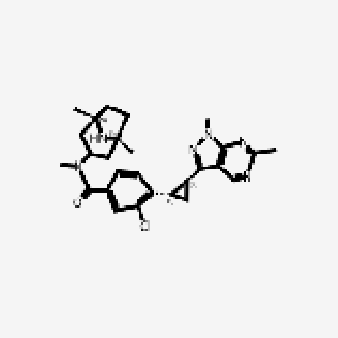 Cc1ncc2c([C@H]3C[C@@H]3c3ccc(C(=O)N(C)C4C[C@]5(C)CC[C@](C)(C4)N5)cc3Cl)nn(C)c2n1